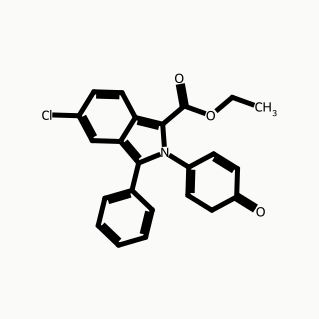 CCOC(=O)c1c2ccc(Cl)cc2c(-c2ccccc2)n1C1=CCC(=O)C=C1